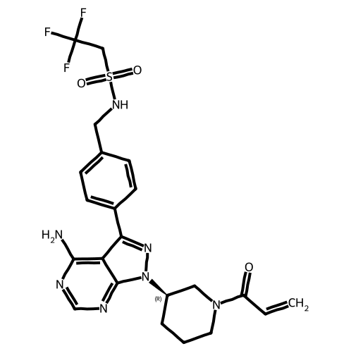 C=CC(=O)N1CCC[C@@H](n2nc(-c3ccc(CNS(=O)(=O)CC(F)(F)F)cc3)c3c(N)ncnc32)C1